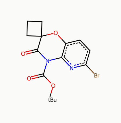 CC(C)(C)OC(=O)N1C(=O)C2(CCC2)Oc2ccc(Br)nc21